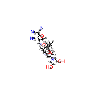 CC1(C)O/C(=C\C2=CC(=C/C3=C(C#N)C(=C(C#N)C#N)OC3(C)C)/OC2([Si](C)(C)C(C)(C)C)[Si](C)(C)C(C)(C)C)C=C1N(CCO)CCO